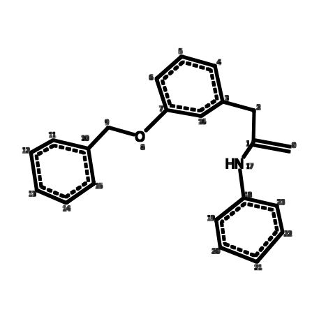 C=C(Cc1cccc(OCc2ccccc2)c1)Nc1ccccc1